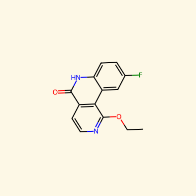 CCOc1nccc2c(=O)[nH]c3ccc(F)cc3c12